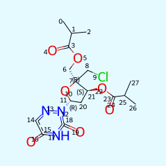 CC(C)C(=O)OC[C@@]1(CCl)O[C@@H](n2ncc(=O)[nH]c2=O)C[C@@H]1OC(=O)C(C)C